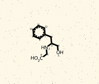 O=C(O)CNC(CO)Cc1ccccc1